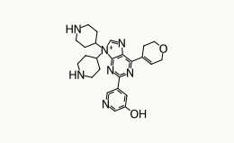 Oc1cncc(-c2nc(C3=CCOCC3)c3c(n2)[N+](C2CCNCC2)(C2CCNCC2)C=N3)c1